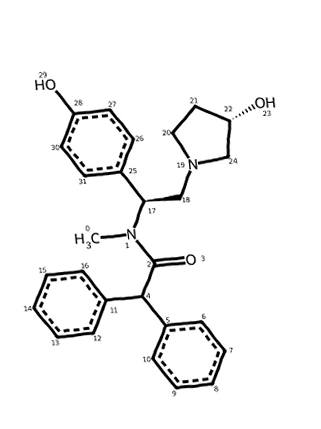 CN(C(=O)C(c1ccccc1)c1ccccc1)[C@H](CN1CC[C@H](O)C1)c1ccc(O)cc1